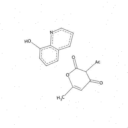 CC(=O)C1C(=O)C=C(C)OC1=O.Oc1cccc2cccnc12